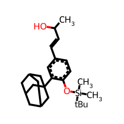 CC(O)C=Cc1ccc(O[Si](C)(C)C(C)(C)C)c(C23CC4CC(CC(C4)C2)C3)c1